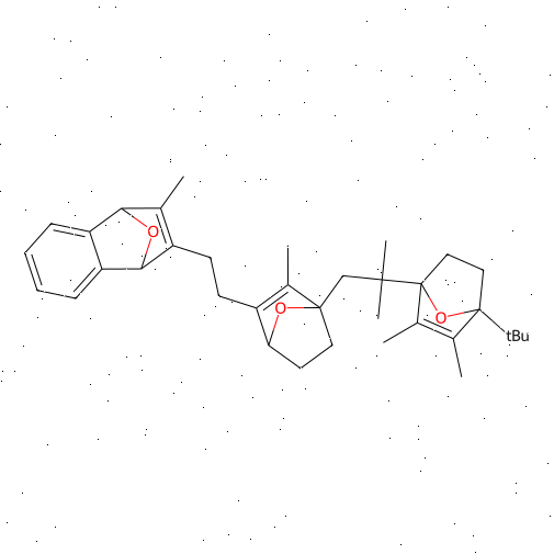 CC1=C(CCC2=C(C)C3(CC(C)(C)C45CCC(C(C)(C)C)(O4)C(C)=C5C)CCC2O3)C2OC1c1ccccc12